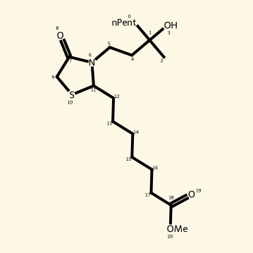 CCCCCC(C)(O)CCN1C(=O)CSC1CCCCCCC(=O)OC